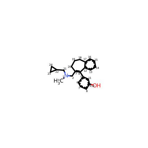 CN(CC1=C(c2cccc(O)c2)c2ccccc2CCC1)CC1CC1